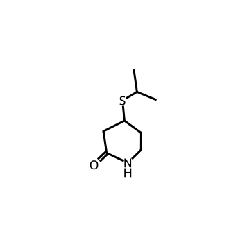 CC(C)SC1CCNC(=O)C1